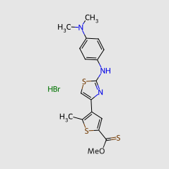 Br.COC(=S)c1cc(-c2csc(Nc3ccc(N(C)C)cc3)n2)c(C)s1